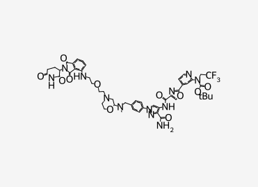 CN(Cc1ccc(-n2cc(NC(=O)c3coc(-c4ccnc(N(CC(F)(F)F)C(=O)OC(C)(C)C)c4)n3)c(C(N)=O)n2)cc1)C1CN(CCOCCNc2cccc3c2C(=O)N(C2CCC(=O)NC2=O)C3=O)CCO1